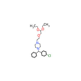 CCOC(COCCN1CCN(C(c2ccccc2)c2ccc(Cl)cc2)CC1)OCC